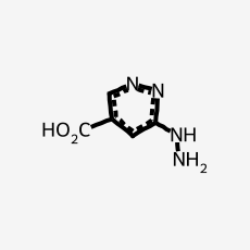 NNc1cc(C(=O)O)cnn1